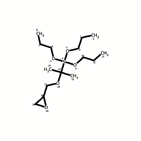 CCCO[Si](OCCC)(OCCC)C(C)(C)OCC1CO1